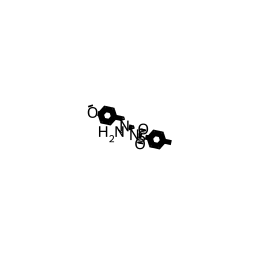 COc1ccc(CN(N)C=NS(=O)(=O)c2ccc(C)cc2)cc1